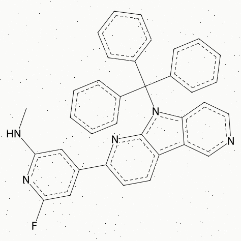 CNc1cc(-c2ccc3c4cnccc4n(C(c4ccccc4)(c4ccccc4)c4ccccc4)c3n2)cc(F)n1